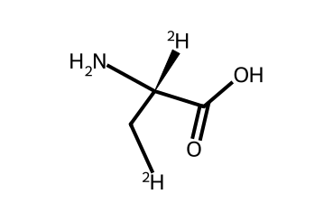 [2H]C[C@]([2H])(N)C(=O)O